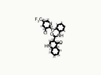 O=C(Nc1ccccc1Oc1ncc(C(F)(F)F)cc1Cl)c1c[nH]c2ccccc2c1=O